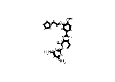 CCc1sc(-c2ccc(OC)c(OCCN3CCCC3)c2)nc1[C@H](C)Sc1nc(N)cc(N)n1